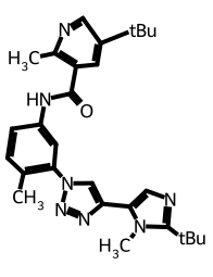 Cc1ccc(NC(=O)c2cc(C(C)(C)C)cnc2C)cc1-n1cc(-c2cnc(C(C)(C)C)n2C)nn1